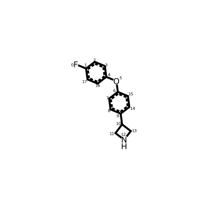 Fc1ccc(Oc2ccc(C3CNC3)cc2)cc1